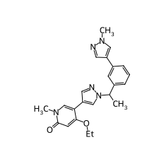 CCOc1cc(=O)n(C)cc1-c1cnn(C(C)c2cccc(-c3cnn(C)c3)c2)c1